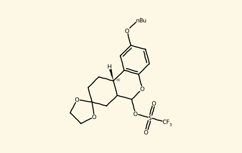 CCCCOc1ccc2c(c1)[C@H]1CCC3(CC1C(OS(=O)(=O)C(F)(F)F)O2)OCCO3